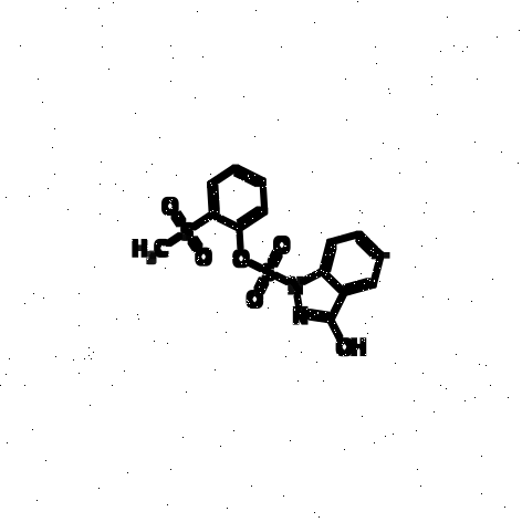 CS(=O)(=O)c1ccccc1OS(=O)(=O)n1nc(O)c2c[c]ccc21